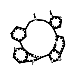 CN1Cc2cccc(c2)-c2nccc3[nH]c(nc23)-c2n[nH]c3ccc(cc23)-c2cnn(C)c2C1